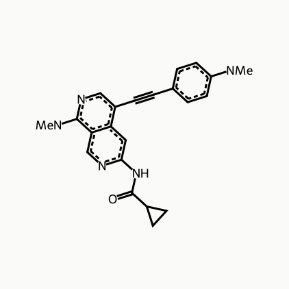 CNc1ccc(C#Cc2cnc(NC)c3cnc(NC(=O)C4CC4)cc23)cc1